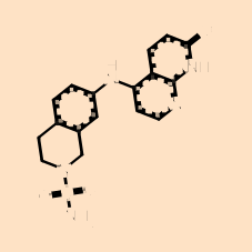 NS(=O)(=O)N1CCc2ccc(Nc3ccnc4[nH]c(=O)ccc34)cc2C1